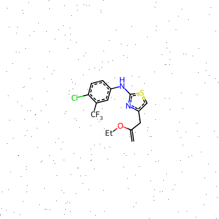 C=C(Cc1csc(Nc2ccc(Cl)c(C(F)(F)F)c2)n1)OCC